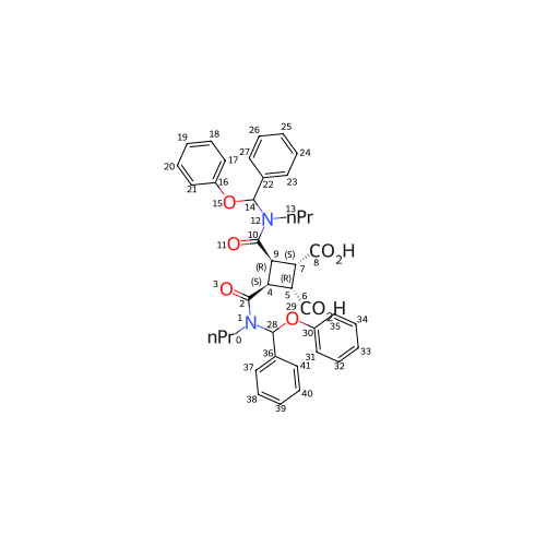 CCCN(C(=O)[C@@H]1[C@@H](C(=O)O)[C@@H](C(=O)O)[C@@H]1C(=O)N(CCC)C(Oc1ccccc1)c1ccccc1)C(Oc1ccccc1)c1ccccc1